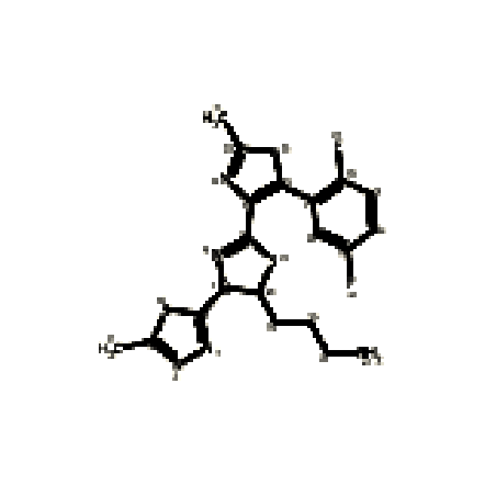 Cc1nnc(N2N=C(c3nc(C)sc3-c3cc(F)ccc3F)SC2CCCN)s1